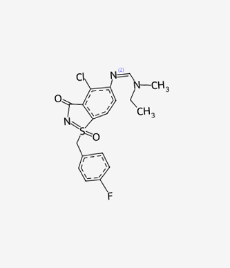 CCN(C)/C=N\c1ccc2c(c1Cl)C(=O)N=S2(=O)Cc1ccc(F)cc1